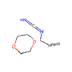 C1COCCO1.CCCCCCN=C=N